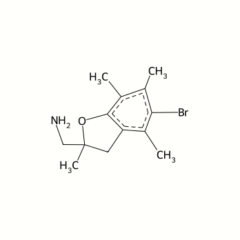 Cc1c(C)c2c(c(C)c1Br)CC(C)(CN)O2